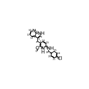 COC1=C(Cc2c[nH]c3ncccc23)C=CC(NCC2C=CC(Cl)=CC2)N1